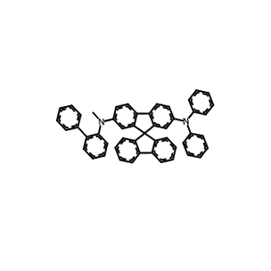 CN(c1ccc2c(c1)C1(c3ccccc3-c3ccccc31)c1cc(N(c3ccccc3)c3ccccc3)ccc1-2)c1ccccc1-c1ccccc1